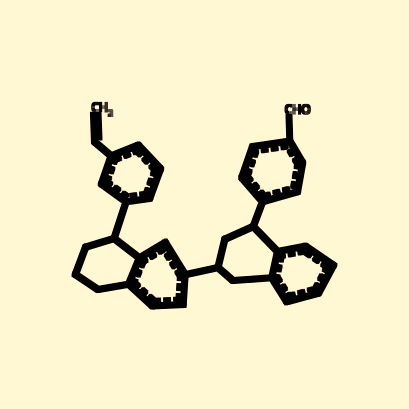 C=Cc1cccc(C2CCCc3ccc(C4Cc5ccccc5C(c5ccc(C=O)cc5)C4)cc32)c1